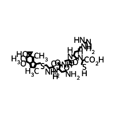 CC1=C(CSCC(N)C(=O)NC(CC(N)=O)C(=O)NCC(=O)NC(CCCNC(=N)N)C(=O)NC(CS)C(=O)O)C2=C(C)C3(CC3)[C@@](C)(O)C(=O)C2=C1